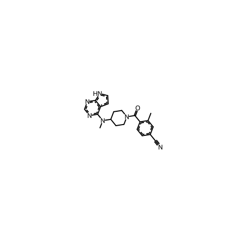 Cc1cc(C#N)ccc1C(=O)N1CCC(N(C)c2ncnc3[nH]ccc23)CC1